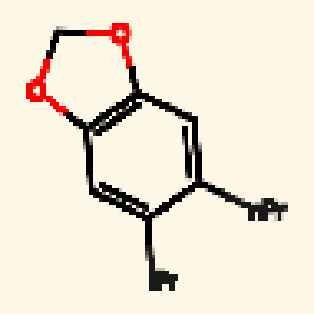 CCCc1cc2c(cc1C(C)C)OCO2